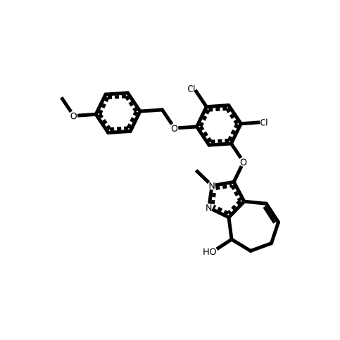 COc1ccc(COc2cc(Oc3c4c(nn3C)C(O)CCC=C4)c(Cl)cc2Cl)cc1